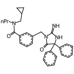 CCCN(CC1CC1)C(=O)c1cccc(CN2C(=N)NC(c3ccccc3)(c3ccccc3)C2=O)c1